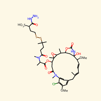 COc1cc2cc(c1Cl)N(C)C(=O)CC(OC(=O)C(C)N(C)C(=O)CCC(C)(C)SSCCC(C(=O)NN)S(=O)(=O)O)C1(C)OC1C(C)C1CC(O)(NC(=O)O1)C(OC)/C=C/C=C(\C)C2